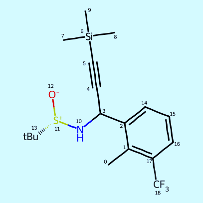 Cc1c(C(C#C[Si](C)(C)C)N[S@@+]([O-])C(C)(C)C)cccc1C(F)(F)F